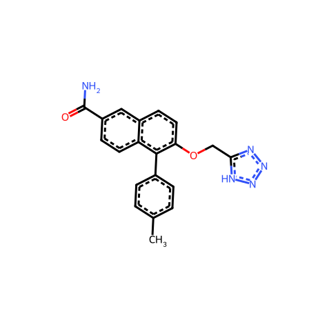 Cc1ccc(-c2c(OCc3nnn[nH]3)ccc3cc(C(N)=O)ccc23)cc1